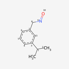 CC(C)c1cccc(CN=O)c1